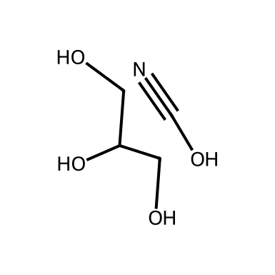 N#CO.OCC(O)CO